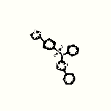 O=S(=O)(c1ccc(-c2ccon2)cc1)N(c1ccccc1)c1nc(-c2ccccc2)cs1